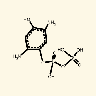 Nc1cc(OP(=O)(O)OP(=O)(O)O)c(N)cc1O